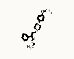 CCON=C(CCN1CCN(c2ccc(OC)cc2)CC1)c1ccccc1